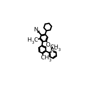 Cc1ccc2c(oc3cc(C4CCCCC4)c(C#N)c(C)c32)c1-c1cccc[n+]1C